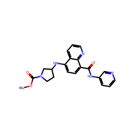 CC(C)(C)OC(=O)N1CCC(Nc2ccc(C(=O)Nc3cccnc3)c3ncccc23)C1